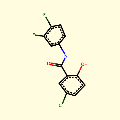 O=C(Nc1ccc(F)c(F)c1)c1cc(Cl)ccc1O